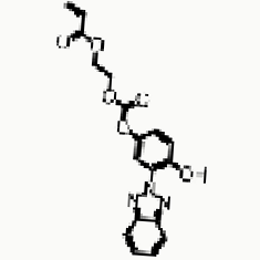 C=CC(=O)OCCOC(=O)Oc1ccc(O)c(-n2nc3ccccc3n2)c1